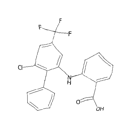 O=C(O)c1ccccc1Nc1cc(C(F)(F)F)cc(Cl)c1-c1ccccc1